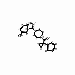 O=C(N1CCN(c2nnc3ccc(Cl)cn23)CC1)C1(c2ccccc2)CC1